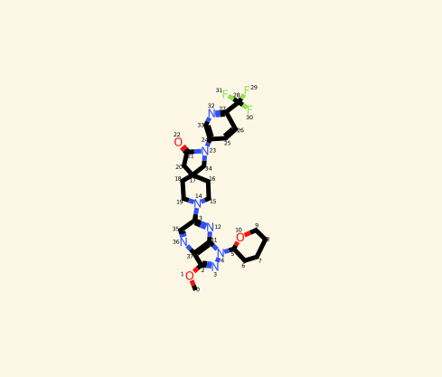 COc1nn(C2CCCCO2)c2nc(N3CCC4(CC3)CC(=O)N(c3ccc(C(F)(F)F)nc3)C4)cnc12